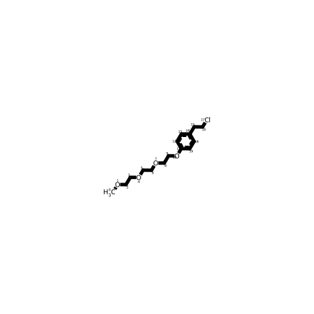 COCCOCCOCCOc1ccc(CCCl)cc1